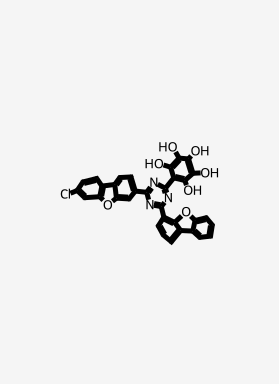 Oc1c(O)c(O)c(-c2nc(-c3ccc4c(c3)oc3cc(Cl)ccc34)nc(-c3cccc4c3oc3ccccc34)n2)c(O)c1O